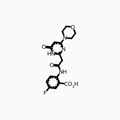 O=C(Cc1nc(N2CCOCC2)cc(=O)[nH]1)Nc1ccc(F)cc1C(=O)O